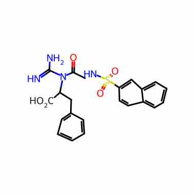 N=C(N)N(C(=O)CNS(=O)(=O)c1ccc2ccccc2c1)C(Cc1ccccc1)C(=O)O